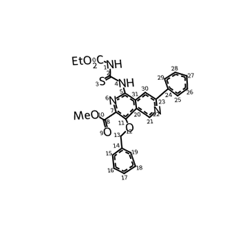 CCOC(=O)NC(=S)Nc1nc(C(=O)OC)c(OCc2ccccc2)c2cnc(-c3ccccc3)cc12